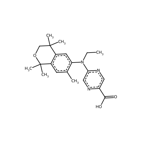 CCN(c1cnc(C(=O)O)cn1)c1cc2c(cc1C)C(C)(C)OCC2(C)C